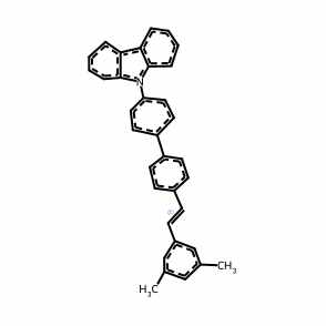 Cc1cc(C)cc(/C=C/c2ccc(-c3ccc(-n4c5ccccc5c5ccccc54)cc3)cc2)c1